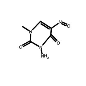 Cn1cc(N=O)c(=O)n(N)c1=O